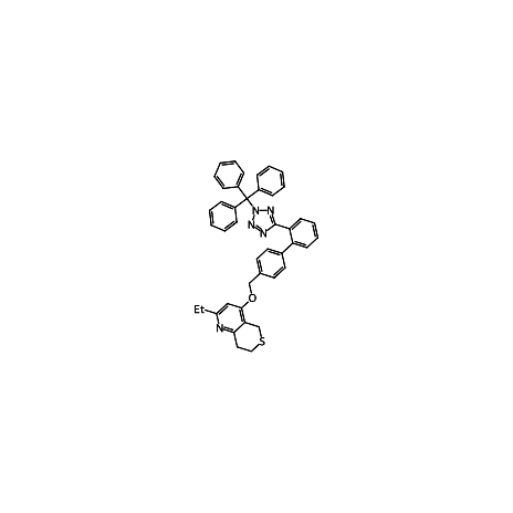 CCc1cc(OCc2ccc(-c3ccccc3-c3nnn(C(c4ccccc4)(c4ccccc4)c4ccccc4)n3)cc2)c2c(n1)CCSC2